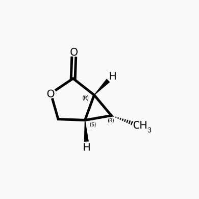 C[C@@H]1[C@@H]2COC(=O)[C@H]12